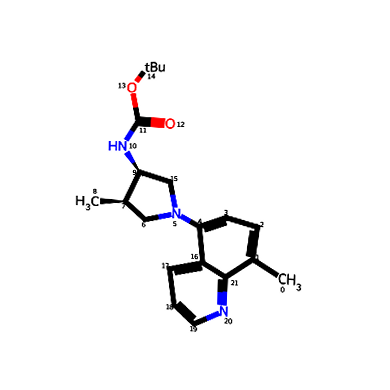 Cc1ccc(N2C[C@@H](C)[C@@H](NC(=O)OC(C)(C)C)C2)c2cccnc12